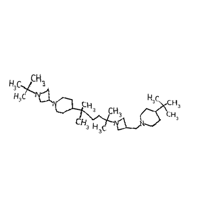 CC(C)(C)C1CCN(CC2CN(C(C)(C)CCC(C)(C)C3CCN(C4CN(C(C)(C)C)C4)CC3)C2)CC1